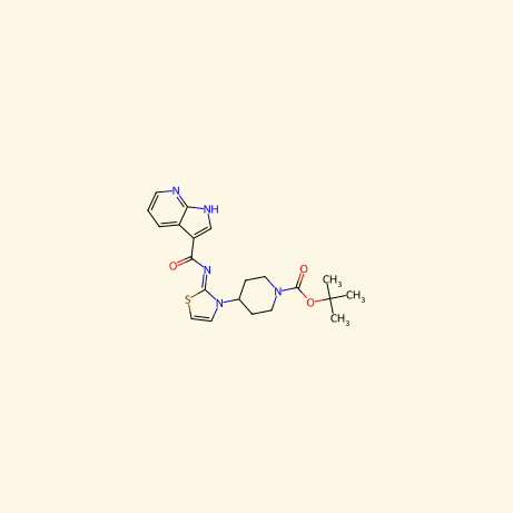 CC(C)(C)OC(=O)N1CCC(n2ccsc2=NC(=O)c2c[nH]c3ncccc23)CC1